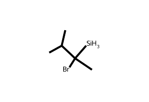 CC(C)C(C)([SiH3])Br